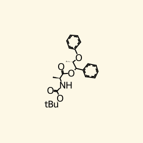 C[C@H](NC(=O)OC(C)(C)C)C(=O)O[C@H](c1ccccc1)[C@H](C)Oc1ccccc1